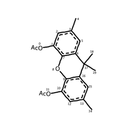 CC(=O)Oc1cc(C)cc2c1Oc1c(OC(C)=O)cc(C)cc1C2(C)C